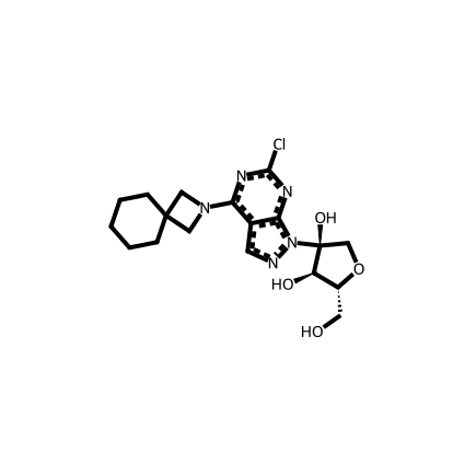 OC[C@H]1OC[C@@](O)(n2ncc3c(N4CC5(CCCCC5)C4)nc(Cl)nc32)[C@@H]1O